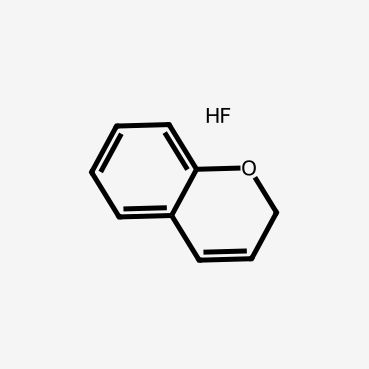 C1=Cc2ccccc2OC1.F